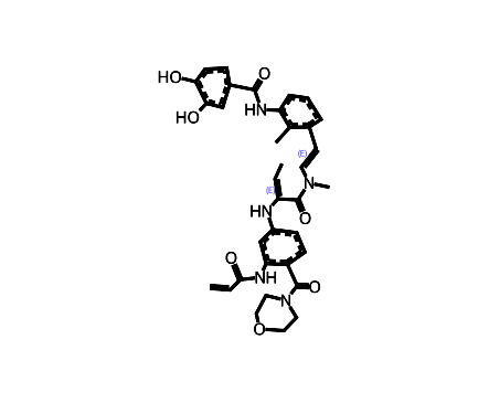 C=CC(=O)Nc1cc(N/C(=C/C)C(=O)N(C)/C=C/c2cccc(NC(=O)c3ccc(O)c(O)c3)c2C)ccc1C(=O)N1CCOCC1